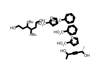 CC(O)C#C[C@H](C)O.CCCCC(CCO)C(CCO)CCCC.O=C(O)c1ccccc1.O=C(O)c1ccccc1.O=C(O)c1ccco1.O=C(O)c1ccco1